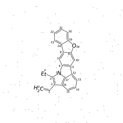 C=Cc1c(CC)n2c3cc4c(cc3c3cccc1c32)oc1ccccc14